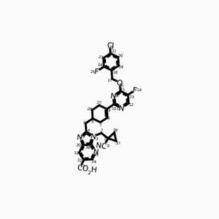 N#CC1(Cn2c(CC3CC=C(c4ncc(F)c(OCc5ccc(Cl)cc5F)n4)CC3)nc3cc(C(=O)O)cnc32)CC1